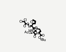 CC(=O)OC[C@@]1(NC(=O)C(=NOC(=O)C(Cl)Cl)c2ccco2)C(=O)N2C(C(=O)OC(C)(C)C)=CCS[C@H]21